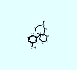 CN1CCOC2(c3cccc(O)c3)CCCCC2C1